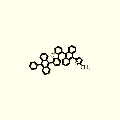 Cc1ccc(-c2c3ccccc3c(-c3cccc4oc5c(-c6c7ccccc7c(-c7ccccc7)c7ccccc67)cccc5c34)c3ccccc23)s1